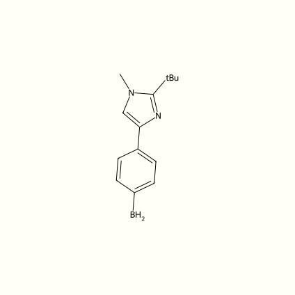 Bc1ccc(-c2cn(C)c(C(C)(C)C)n2)cc1